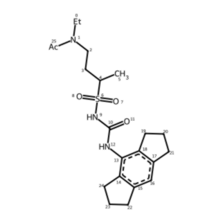 CCN(CCC(C)S(=O)(=O)NC(=O)Nc1c2c(cc3c1CCC3)CCC2)C(C)=O